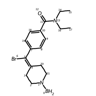 BN1CCC(=C(Br)c2ccc(C(=O)N(CC)CC)cc2)CC1